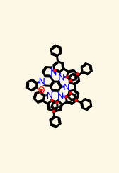 c1ccc(-c2ccc3c(c2)c2ccccc2n3-c2c(-c3ccccn3)c(-c3nc4ccccc4o3)c(-n3c4ccccc4c4cc(-c5ccccc5)ccc43)c(-n3c4ccccc4c4cc(-c5ccccc5)ccc43)c2-n2c3ccccc3c3cc(-c4ccccc4)ccc32)cc1